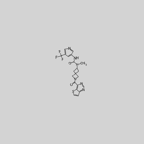 CN(C(=O)Nc1cncc(C(F)(F)F)c1)C1CC2(C1)CN(C(=O)c1ncnc3ccsc13)C2